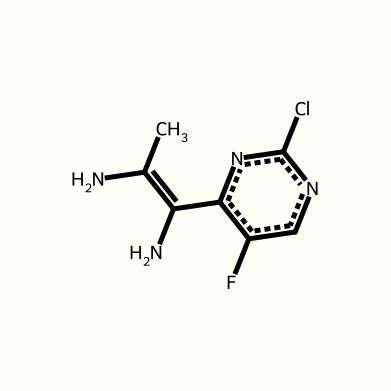 C/C(N)=C(/N)c1nc(Cl)ncc1F